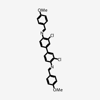 COc1ccc(C=Nc2ccc(-c3ccc(N=Cc4ccc(OC)cc4)c(Cl)c3)cc2Cl)cc1